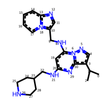 CC(C)c1cnn2c(NCc3cnc4ccccn34)cc(NCC3CCNCC3)nc12